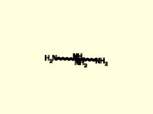 NCCCCCCCCCC(N)C(N)CCCCCCCCCN